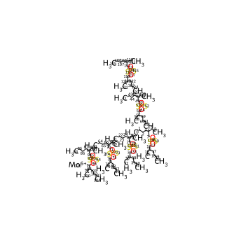 CCCCC(CC)COP(=S)([S-])OCC(CC)CCCC.CCCCC(CC)COP(=S)([S-])OCC(CC)CCCC.CCCCC(CC)COP(=S)([S-])OCC(CC)CCCC.CCCCC(CC)COP(=S)([S-])OCC(CC)CCCC.CCCCC(CC)COP(=S)([S-])OCC(CC)CCCC.CCCCC(CC)COP(=S)([S-])OCC(CC)CCCC.[Mo+6]